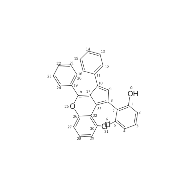 Oc1cccc(Cl)c1-c1cc(-c2ccccc2)c2c(-c3ccccc3)oc3cccc(Cl)c3c1-2